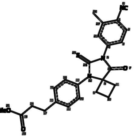 [C-]#[N+]c1ccc(N2C(=O)C3(CCC3)N(c3ccc(CCC(=O)OC)cc3)C2=S)cc1C